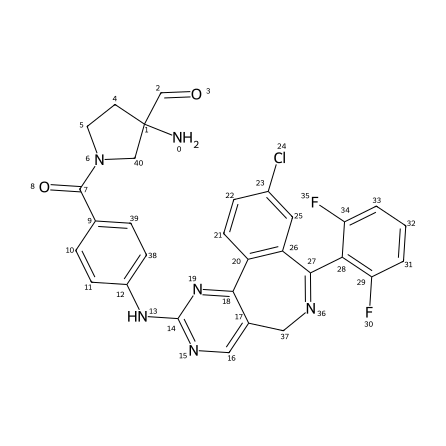 NC1(C=O)CCN(C(=O)c2ccc(Nc3ncc4c(n3)-c3ccc(Cl)cc3C(c3c(F)cccc3F)=NC4)cc2)C1